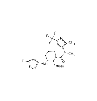 Cc1nc(C(F)(F)F)cn1C(C)C(=O)N1CCCC(Nc2ccc(F)cc2)=C1C=N